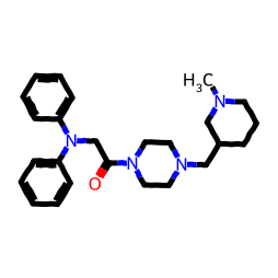 CN1CCCC(CN2CCN(C(=O)CN(c3ccccc3)c3ccccc3)CC2)C1